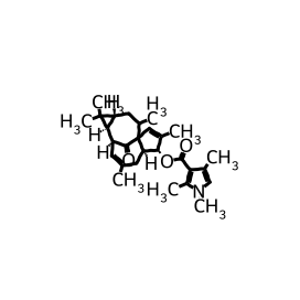 CC1=C[C@@H]2C(=O)C3(C=C(C)[C@H](OC(=O)c4c(C)cn(C)c4C)[C@H]3C1)C(C)C[C@@H]1[C@@H]2C1(C)C